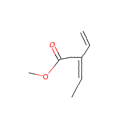 C=CC(=CC)C(=O)OC